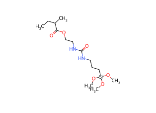 CCC(C)C(=O)OCCNC(=O)NCCC[Si](OC)(OC)OC